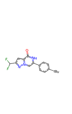 CC(C)(C)c1ccc(-c2cn3nc(C(F)F)cc3c(=O)[nH]2)cc1